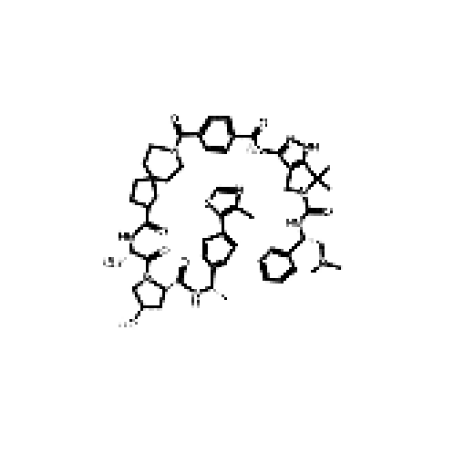 Cc1ncsc1-c1ccc([C@H](C)NC(=O)[C@@H]2C[C@@H](O)CN2C(=O)[C@@H](NC(=O)C2CCC3(CCN(C(=O)c4ccc(C(=O)Nc5n[nH]c6c5CN(C(=O)N[C@H](CN(C)C)c5ccccc5)C6(C)C)cc4)CC3)C2)C(C)(C)C)cc1